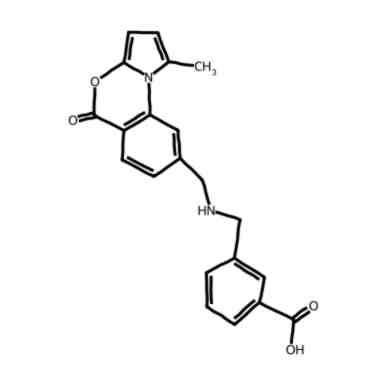 Cc1ccc2oc(=O)c3ccc(CNCc4cccc(C(=O)O)c4)cc3n12